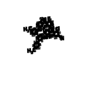 CN1CCN(c2cc(Nc3cc4c(cn3)cnn4-c3c(F)cc(C#N)cc3Cl)ncn2)CC1.Cc1cc(Nc2cc3c(cn2)cnn3-c2c(F)cncc2F)ncn1